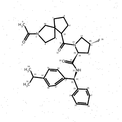 CC(=O)N1CCC2(CCCC2C(=O)N2C[C@H](F)C[C@H]2C(=O)N[C@@H](c2ccccc2)c2ccc(C(C)C)cc2)C1